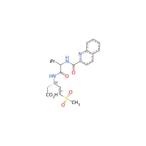 CC(C)C(NC(=O)c1ccc2ccccc2n1)C(=O)N[C@H](/C=C/S(C)(=O)=O)CC(=O)O